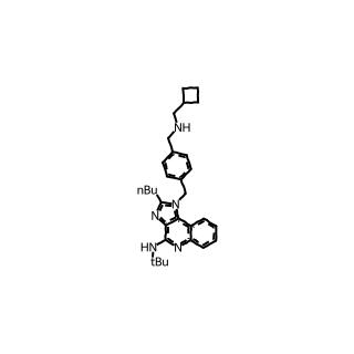 CCCCc1nc2c(NC(C)(C)C)nc3ccccc3c2n1Cc1ccc(CNCC2CCC2)cc1